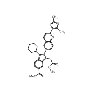 COC(=O)c1ccc2c(C3CCCCC3)c(-c3ccc4nc(-c5sc(C)nc5C)ccc4c3)n(CC(=O)OC(C)(C)C)c2c1